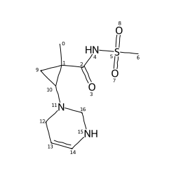 CC1(C(=O)NS(C)(=O)=O)CC1N1CC=CNC1